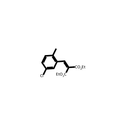 CCOC(=O)C(=Cc1cc(Cl)ccc1C)C(=O)OCC